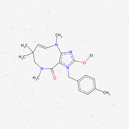 CCOc1nc2c(n1Cc1ccc(C)cc1)C(=O)N(C)CC(C)(C)/C=C/N2C